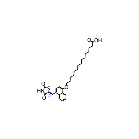 O=C(O)CCCCCCCCCCCCCCOc1ccc(/C=C2\SC(=O)NC2=O)c2ccccc12